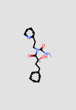 NC(=O)N(CCc1ccccn1)C(=O)[C@@H](O)[CH]Cc1ccccc1